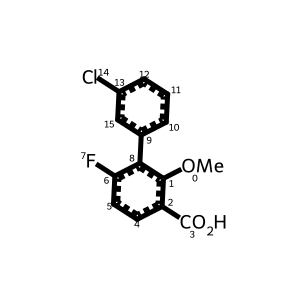 COc1c(C(=O)O)ccc(F)c1-c1cccc(Cl)c1